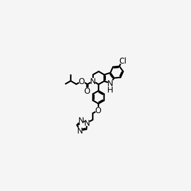 CC(C)COC(=O)N1CCc2c([nH]c3ccc(Cl)cc23)C1c1ccc(OCCn2cncn2)cc1